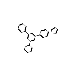 c1ccc(-c2cc(-c3ccccc3)cc(-c3ccccc3)c2)cc1.c1ccsc1